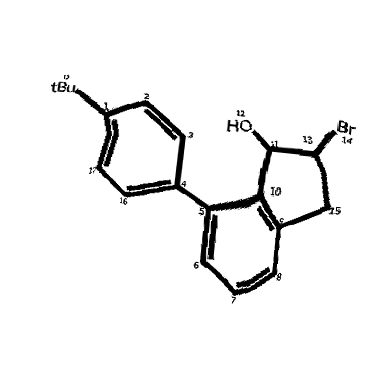 CC(C)(C)c1ccc(-c2cccc3c2C(O)C(Br)C3)cc1